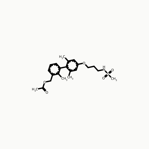 CC(=O)OCc1cccc(-c2c(C)cc(OCCCNS(C)(=O)=O)cc2C)c1C